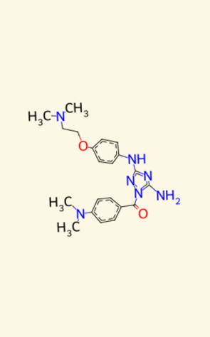 CN(C)CCOc1ccc(Nc2nc(N)n(C(=O)c3ccc(N(C)C)cc3)n2)cc1